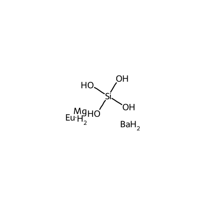 O[Si](O)(O)O.[BaH2].[Eu].[MgH2]